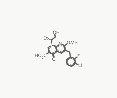 CC[C@@H](CO)n1cc(C(=O)O)c(=O)c2cc(Cc3cccc(Cl)c3F)c(OC)nc21